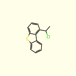 CC(Cl)c1cccc2sc3ccccc3c12